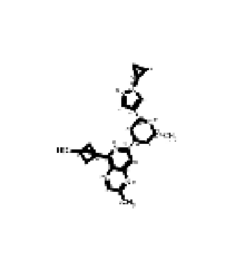 Cc1cnc2c(C34CC(C)(C3)C4)nc([C@H]3C[C@@H](C)O[C@@H](c4cnn(C5CC5)c4)C3)cc2n1